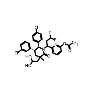 CC1(CC(O)O)C[C@H](c2cccc(Cl)c2)[C@@H](c2ccc(Cl)cc2)N(C(CC(F)F)c2cccc(OC(=O)C(F)(F)F)n2)C1=O